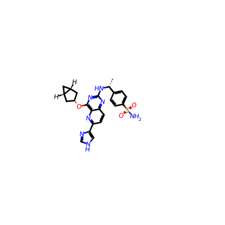 C[C@@H](Nc1nc(O[C@@H]2C[C@@H]3C[C@@H]3C2)c2nc(-c3c[nH]cn3)ccc2n1)c1ccc(S(N)(=O)=O)cc1